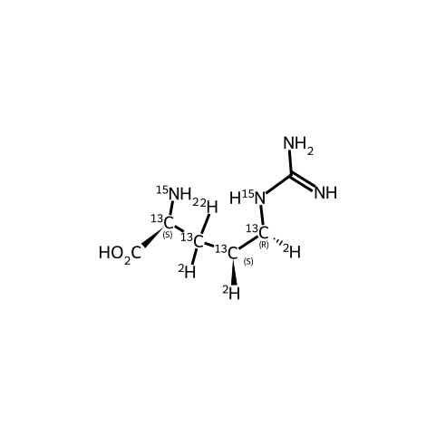 [2H][13C@H]([13C@@H]([2H])[15NH]C(=N)N)[13C]([2H])([2H])[13C@H]([15NH2])[13C](=O)O